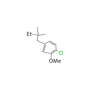 CCC(C)(C)Cc1ccc(Cl)c(OC)c1